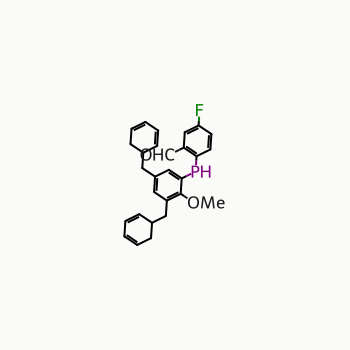 COc1c(CC2C=CC=CC2)cc(CC2C=CC=CC2)cc1Pc1ccc(F)cc1C=O